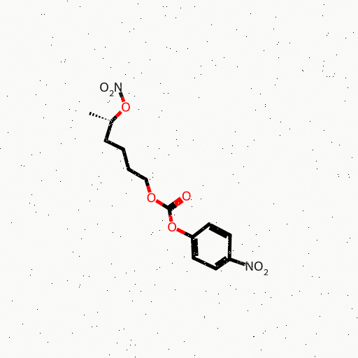 C[C@@H](CCCCOC(=O)Oc1ccc([N+](=O)[O-])cc1)O[N+](=O)[O-]